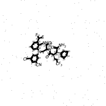 N#Cc1cc(Cl)cc(N2CC(NC(=O)[C@H](CCC(F)(F)F)[C@@H](C(N)=O)c3ccccc3)C(=O)Nc3c(C(F)F)cccc32)c1